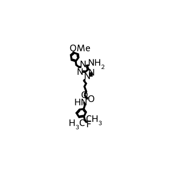 COc1ccc(Cc2nc(N)c3ncn(CCCCOC(=O)NCc4cccc(C(C)(C)F)c4)c3n2)cc1